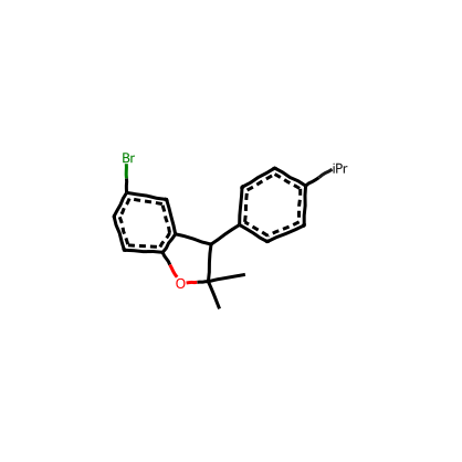 CC(C)c1ccc(C2c3cc(Br)ccc3OC2(C)C)cc1